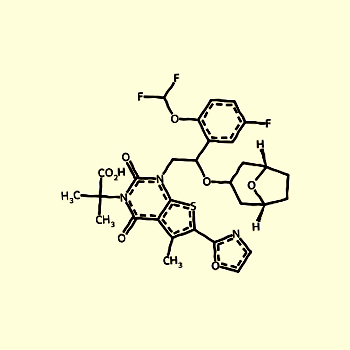 Cc1c(-c2ncco2)sc2c1c(=O)n(C(C)(C)C(=O)O)c(=O)n2CC(OC1C[C@H]2CC[C@@H](C1)O2)c1cc(F)ccc1OC(F)F